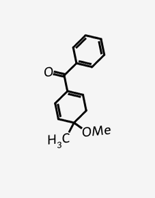 COC1(C)C=CC(C(=O)c2ccccc2)=CC1